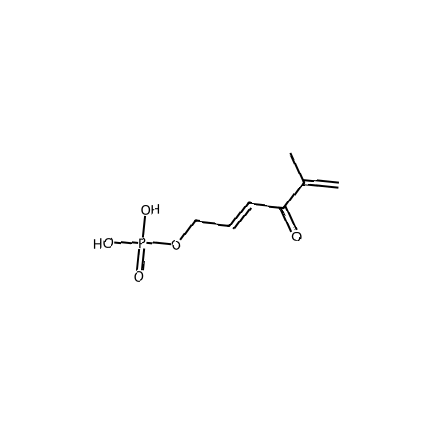 C=C(C)C(=O)C=CCOP(=O)(O)O